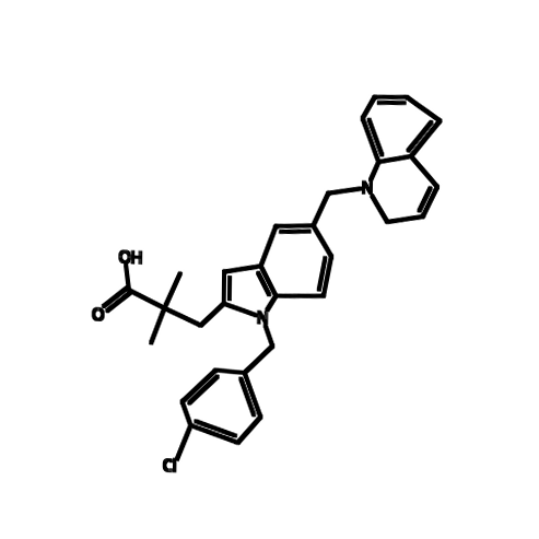 CC(C)(Cc1cc2cc(CN3CC=Cc4ccccc43)ccc2n1Cc1ccc(Cl)cc1)C(=O)O